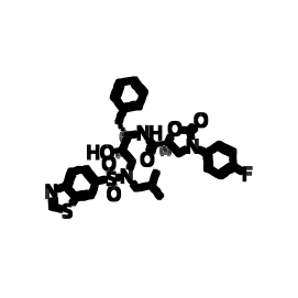 CC(C)CN(C[C@@H](O)[C@H](Cc1ccccc1)NC(=O)[C@@H]1CN(c2ccc(F)cc2)C(=O)O1)S(=O)(=O)c1ccc2ncsc2c1